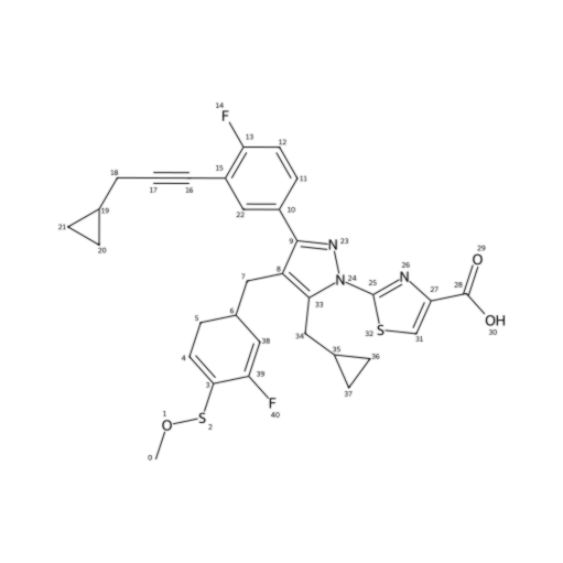 COSC1=CCC(Cc2c(-c3ccc(F)c(C#CCC4CC4)c3)nn(-c3nc(C(=O)O)cs3)c2CC2CC2)C=C1F